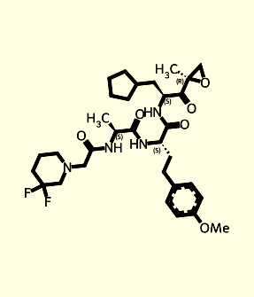 COc1ccc(CC[C@H](NC(=O)[C@H](C)NC(=O)CN2CCCC(F)(F)C2)C(=O)N[C@@H](CC2CCCC2)C(=O)[C@@]2(C)CO2)cc1